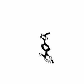 CCc1nnc(-c2ccc(C(OC)C(=O)O)cc2)o1